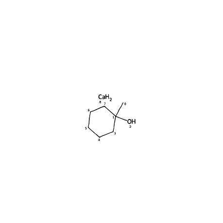 CC1(O)CCCCC1.[CaH2]